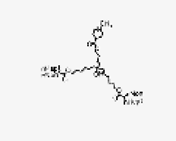 CCCCCCCCCC(CCCCCCC)C(=O)OCCCCCCC(O)(CCCCCCOC(=O)C(CCCCCCC)CCCCCCCCC)CCCCOC(=O)C1CCN(C)CC1